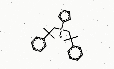 CC(C)([CH2][Sn]([Br])([CH2]C(C)(C)c1ccccc1)[c]1ccsc1)c1ccccc1